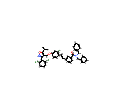 CC(C)c1onc(-c2c(Cl)cccc2Cl)c1COc1ccc(C=Cc2cccc(C(=O)N(Cc3ccccc3)Cc3ccccc3)c2)c(Cl)c1